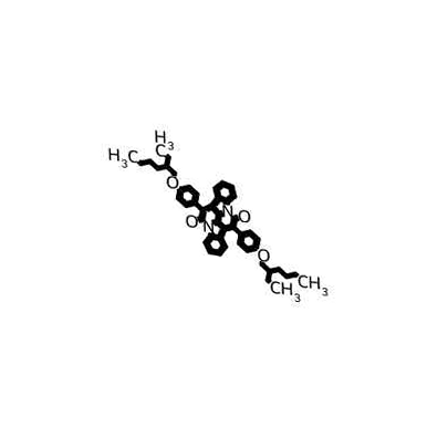 CCCCC(CC)COc1ccc(-c2c(=O)n3c4ccccc4c4c(-c5ccc(OCC(CC)CCCC)cc5)c(=O)n5c6ccccc6c2c5c43)cc1